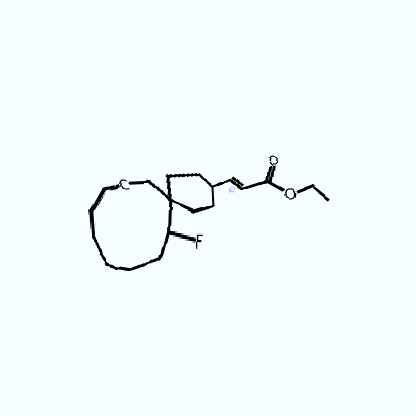 CCOC(=O)/C=C/C1CCC2(CCCCCCCCC2F)CC1